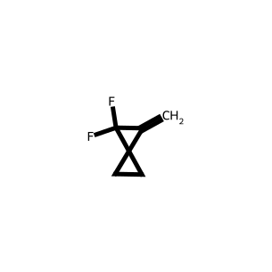 C=C1C(F)(F)C12CC2